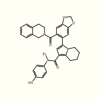 CCN(C(=O)c1cc(-c2cc3c(cc2C(=O)N2CCc4ccccc4C2)OCO3)n2c1CCCC2)c1ccc(O)cc1